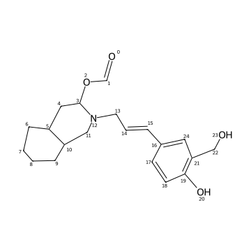 O=COC1CC2CCCCC2CN1C/C=C/c1ccc(O)c(CO)c1